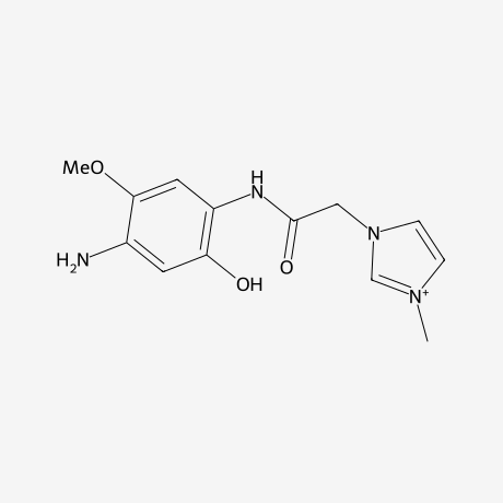 COc1cc(NC(=O)Cn2cc[n+](C)c2)c(O)cc1N